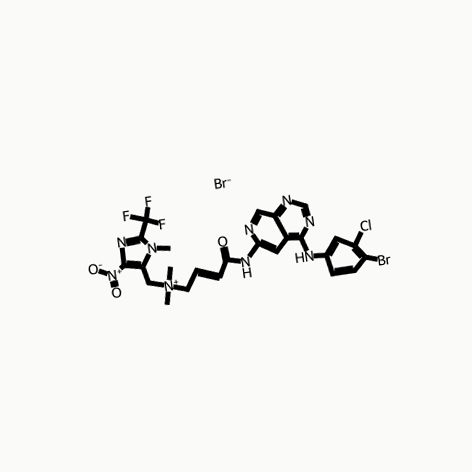 Cn1c(C(F)(F)F)nc([N+](=O)[O-])c1C[N+](C)(C)C/C=C/C(=O)Nc1cc2c(Nc3ccc(Br)c(Cl)c3)ncnc2cn1.[Br-]